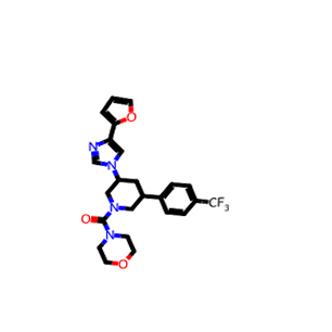 O=C(N1CCOCC1)N1CC(c2ccc(C(F)(F)F)cc2)CC(n2cnc(-c3ccco3)c2)C1